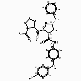 CC(=O)N1CCC[C@H]1C(=O)N1C[C@H](Cc2ccccc2)C[C@H]1C(=O)Nc1ccc(Oc2ccc(F)cc2)cc1